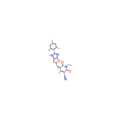 CCN1C(=O)C(C#N)=C(C)/C(=C/c2cc3c(nc(-c4c(C)cc(C)cc4C)n3C)o2)C1=O